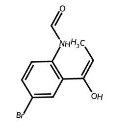 C/C=C(/O)c1cc(Br)ccc1NC=O